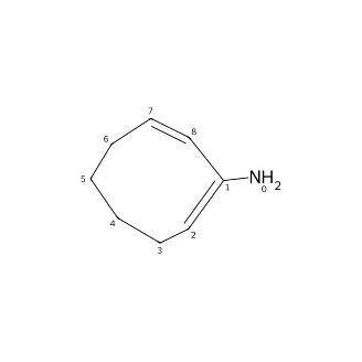 NC1=C/CCCC/C=C\1